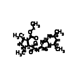 CCOC(=O)c1c(C)nn(C)c1S(=O)(=O)/N=c1\nc2nc(C)cc(C)n2s1